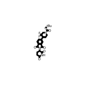 CC(C)(C)OC(=O)N1CC=C(c2ccc3c(c2)C(=O)N(C2CCC(=O)NC2=O)C3=O)C(F)(F)C1